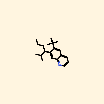 CCCC(c1cc2ncccc2cc1C(C)(C)C)C(C)C